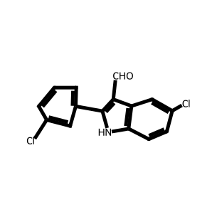 O=Cc1c(-c2cccc(Cl)c2)[nH]c2ccc(Cl)cc12